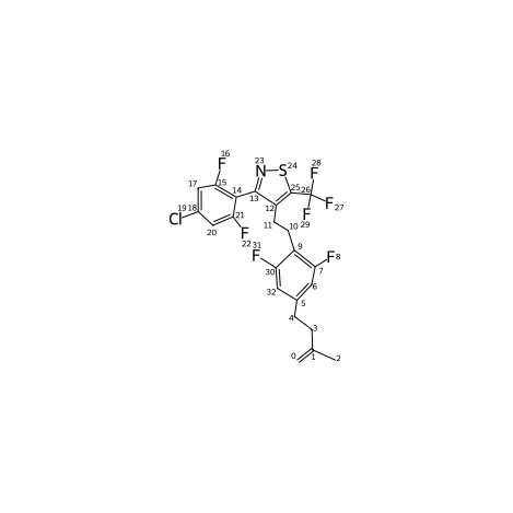 C=C(C)CCc1cc(F)c(CCc2c(-c3c(F)cc(Cl)cc3F)nsc2C(F)(F)F)c(F)c1